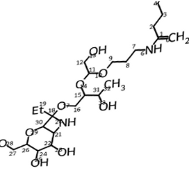 C=C(CCCS)NCCCOC(CO)OC(COC1(CC)NC2C(O)C(O)C(CO)OC21)C(C)O